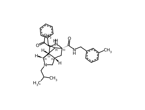 CC(=O)C1N[C@@]2(C(=O)NCc3cccc(C)c3)C[C@@H]3CN(CC(C)C)[C@@H]([C@H]13)[C@H]2Cc1ccccc1